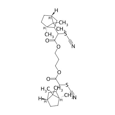 CC1(C)[C@@H]2CC[C@]1(C)C(C(SC#N)C(=O)OCCCOC(=O)C(SC#N)C1C[C@H]3CC[C@@]1(C)C3(C)C)C2